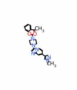 C[C@@H](OC(=O)N1CCN(c2cnc3cc(-c4cnn(C)c4)ccn23)CC1)c1ccccc1